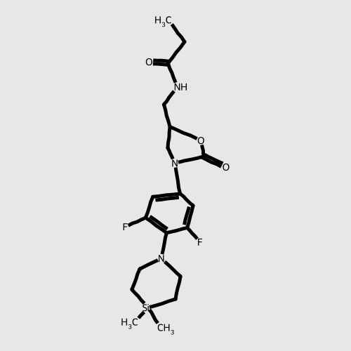 CCC(=O)NCC1CN(c2cc(F)c(N3CC[Si](C)(C)CC3)c(F)c2)C(=O)O1